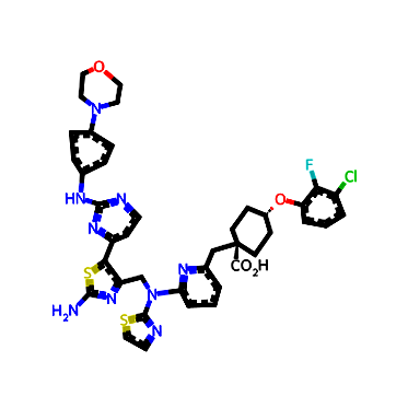 Nc1nc(CN(c2cccc(C[C@]3(C(=O)O)CC[C@H](Oc4cccc(Cl)c4F)CC3)n2)c2nccs2)c(-c2ccnc(Nc3ccc(N4CCOCC4)cc3)n2)s1